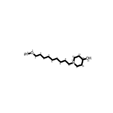 CC(C)OCCCCCCCCCN1CCC(O)CC1